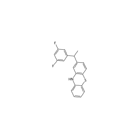 CC(c1cc(F)cc(F)c1)c1ccc2c(c1)Nc1ccccc1S2